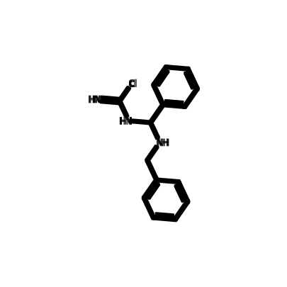 N=C(Cl)NC(NCc1ccccc1)c1ccccc1